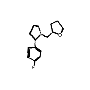 Fc1ccc([C@H]2CCCN2C[C@H]2CCCO2)cc1